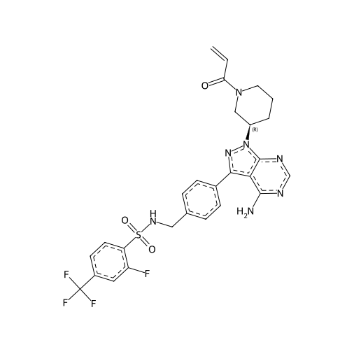 C=CC(=O)N1CCC[C@@H](n2nc(-c3ccc(CNS(=O)(=O)c4ccc(C(F)(F)F)cc4F)cc3)c3c(N)ncnc32)C1